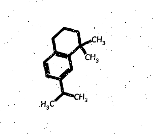 CC(C)c1ccc2c(c1)C(C)(C)CCC2